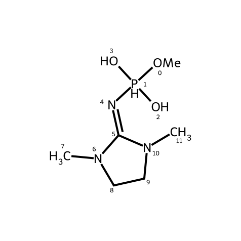 CO[PH](O)(O)N=C1N(C)CCN1C